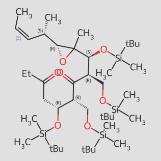 C/C=C\[C@H](C)[C@H]1OC1(C)[C@@H](O[Si](C)(C)C(C)(C)C)[C@@H](CO[Si](C)(C)C(C)(C)C)C(=O)[C@H](CO[Si](C)(C)C(C)(C)C)[C@@H](CC(=O)CC)O[Si](C)(C)C(C)(C)C